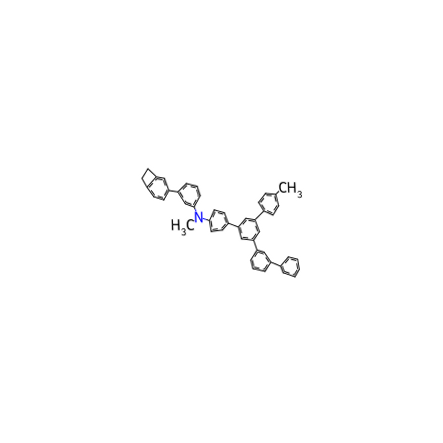 Cc1ccc(-c2cc(-c3ccc(N(C)c4cccc(-c5ccc6c(c5)CC6)c4)cc3)cc(-c3cccc(-c4ccccc4)c3)c2)cc1